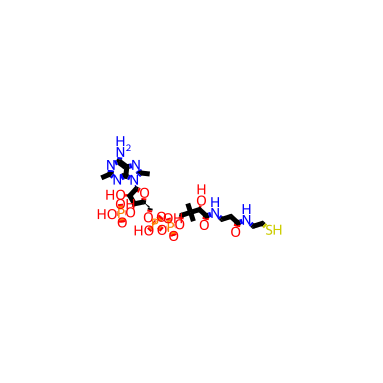 Cc1nc(N)c2nc(C)n([C@@H]3O[C@H](COP(=O)(O)OP(=O)(O)OCC(C)(C)[C@@H](O)C(=O)NCCC(=O)NCCS)[C@@H](OP(=O)(O)O)[C@H]3O)c2n1